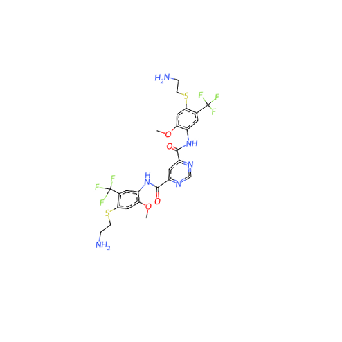 COc1cc(SCCN)c(C(F)(F)F)cc1NC(=O)c1cc(C(=O)Nc2cc(C(F)(F)F)c(SCCN)cc2OC)ncn1